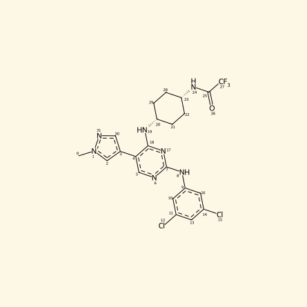 Cn1cc(-c2cnc(Nc3cc(Cl)cc(Cl)c3)nc2N[C@H]2CC[C@@H](NC(=O)C(F)(F)F)CC2)cn1